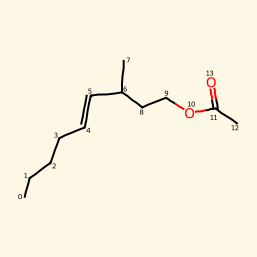 CCCCC=CC(C)CCOC(C)=O